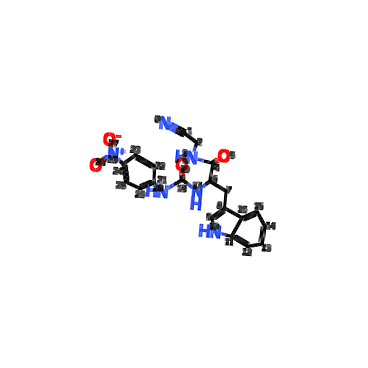 N#CCNC(=O)C(Cc1c[nH]c2ccccc12)NC(=O)Nc1ccc([N+](=O)[O-])cc1